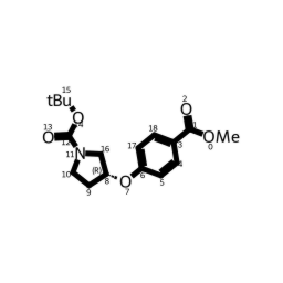 COC(=O)c1ccc(O[C@@H]2CCN(C(=O)OC(C)(C)C)C2)cc1